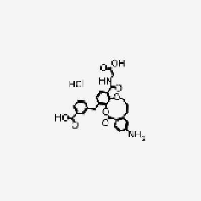 Cl.Nc1ccc2c(c1)CCCOc1c(C(=O)NCC(=O)O)ccc(Cc3cccc(C(=O)O)c3)c1OC2=O